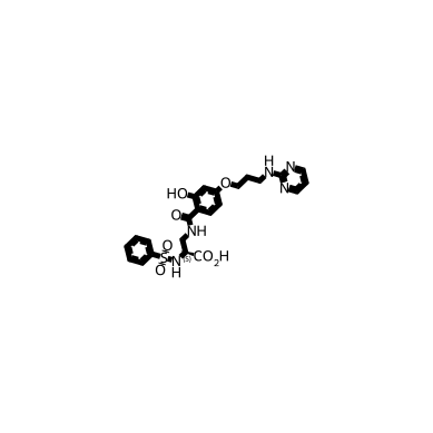 O=C(NC[C@H](NS(=O)(=O)c1ccccc1)C(=O)O)c1ccc(OCCCNc2ncccn2)cc1O